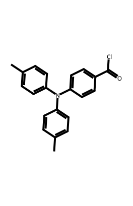 Cc1ccc(N(c2ccc(C)cc2)c2ccc(C(=O)Cl)cc2)cc1